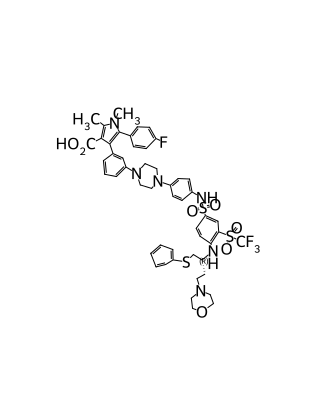 Cc1c(C(=O)O)c(-c2cccc(N3CCN(c4ccc(NS(=O)(=O)c5ccc(N[C@H](CCN6CCOCC6)CSc6ccccc6)c(S(=O)(=O)C(F)(F)F)c5)cc4)CC3)c2)c(-c2ccc(F)cc2)n1C